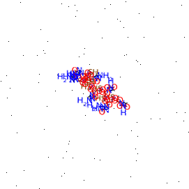 CC[C@H]1O[C@@H](n2cc(C)c(=O)[nH]c2=O)CC1OP(=O)(S)OC[C@H]1O[C@@H](n2cnc3c(=O)[nH]c(N)nc32)CC1OP(=O)(S)OC[C@H]1O[C@@H](n2cc(C)c(=O)[nH]c2=O)CC1OP(=O)(S)OC[C@H]1O[C@@H](n2cc(C)c(N)nc2=O)CC1OP(=O)(S)OC[C@H]1O[C@@H](n2cc(C)c(N)nc2=O)CC1OP(=O)(S)OC[C@H]1O[C@@H](n2cnc3c(N)ncnc32)CC1OP(=O)(S)OC[C@H]1O[C@@H](n2cnc3c(=O)[nH]c(N)nc32)CC1OP(=O)(S)OC